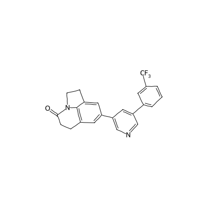 O=C1CCc2cc(-c3cncc(-c4cccc(C(F)(F)F)c4)c3)cc3c2N1CC3